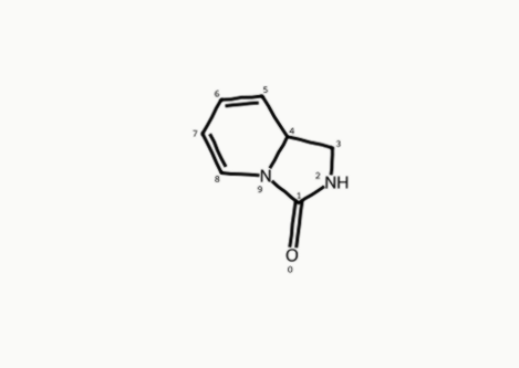 O=C1NCC2C=CC=CN12